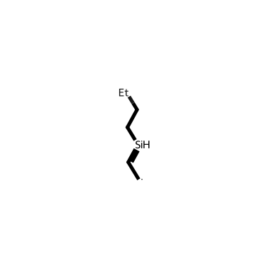 [CH2]C=[SiH]CCCC